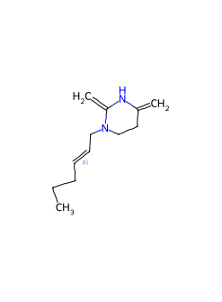 C=C1CCN(C/C=C/CCC)C(=C)N1